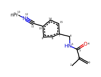 C=C(C)C(=O)NCc1ccc(C#[N+]CCC)cc1